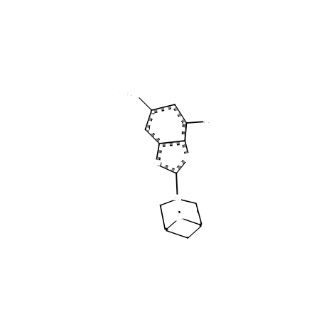 CC(=O)Nc1cc(Br)c2oc(N3CC4CC(C3)N4C(=O)O)nc2c1